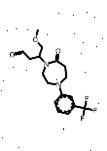 COCC(CC=O)N1CCN(c2cccc(C(F)(F)F)c2)CCC1=O